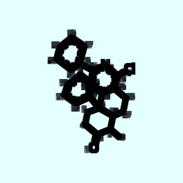 CC1C(=O)CCC2(c3ccccc3)c3nc(-c4ccccc4)nc(Cl)c3CCC12